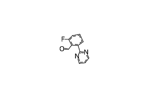 O=Cc1c(F)cccc1-c1ncccn1